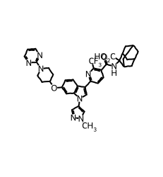 Cn1cc(-n2cc(-c3ccc(C(=O)NC4(C(=O)O)C5CC6CC(C5)CC4C6)c(C(F)(F)F)n3)c3ccc(OC4CCN(c5ncccn5)CC4)cc32)cn1